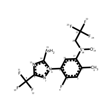 Cc1cc(F)c(-n2nc(C(F)(F)F)nc2[AsH2])cc1[S+]([O-])CC(F)(F)F